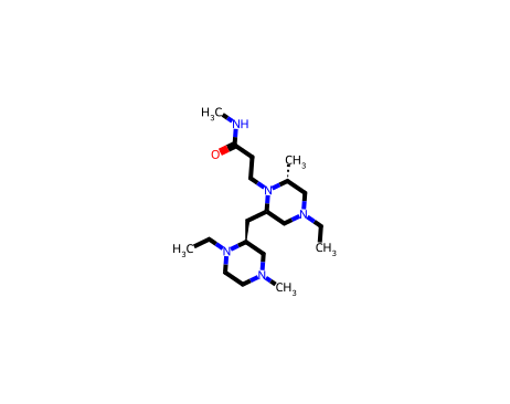 CCN1CC(C[C@H]2CN(C)CCN2CC)N(CCC(=O)NC)[C@H](C)C1